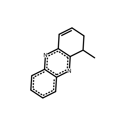 CC1CC=Cc2nc3ccccc3nc21